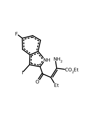 CCOC(=O)C(N)=C(CC)C(=O)c1[nH]c2ccc(F)cc2c1I